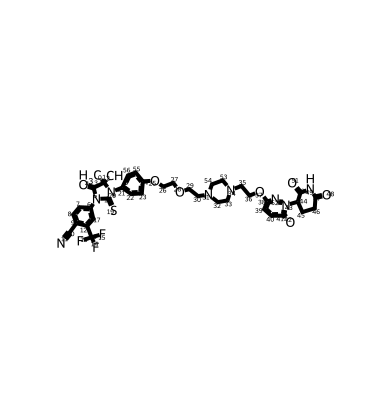 CC1(C)C(=O)N(c2ccc(C#N)c(C(F)(F)F)c2)C(=S)N1c1ccc(OCCOCCN2CCN(CCOc3ccc(=O)n(C4CCC(=O)NC4=O)n3)CC2)cc1